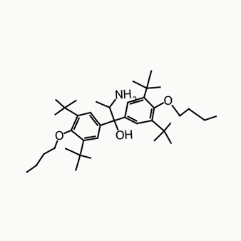 CCCCOc1c(C(C)(C)C)cc(C(O)(c2cc(C(C)(C)C)c(OCCCC)c(C(C)(C)C)c2)C(C)N)cc1C(C)(C)C